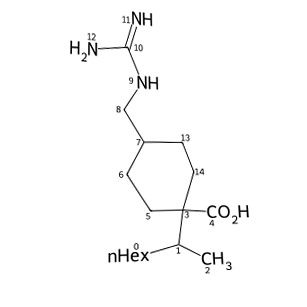 CCCCCCC(C)C1(C(=O)O)CCC(CNC(=N)N)CC1